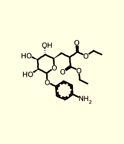 CCOC(=O)C(C[C@H]1OC(Oc2ccc(N)cc2)[C@@H](O)[C@@H](O)[C@@H]1O)C(=O)OCC